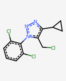 ClCc1c(C2CC2)nnn1-c1c(Cl)cccc1Cl